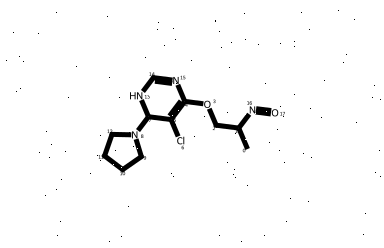 CC(COC1=C(Cl)C(N2CCCC2)NC=N1)N=O